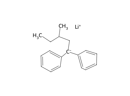 CCC(C)C[C-](c1ccccc1)c1ccccc1.[Li+]